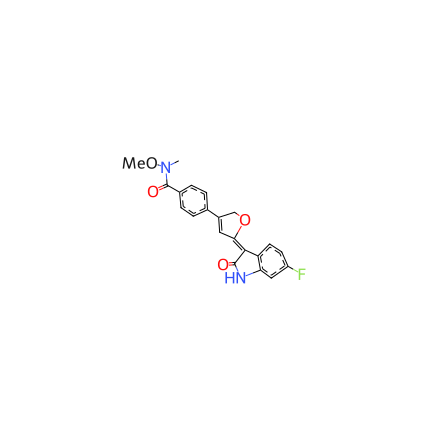 CON(C)C(=O)c1ccc(C2=C/C(=C3\C(=O)Nc4cc(F)ccc43)OC2)cc1